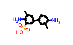 Cc1cc(-c2cc(C)c(N)c(S(=O)(=O)O)c2)ccc1N